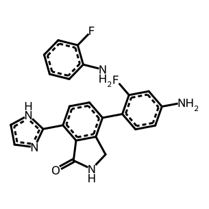 Nc1ccc(-c2ccc(-c3ncc[nH]3)c3c2CNC3=O)c(F)c1.Nc1ccccc1F